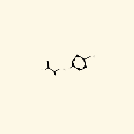 C=C(C(=O)OOc1ccc(Br)cc1)C(C)C